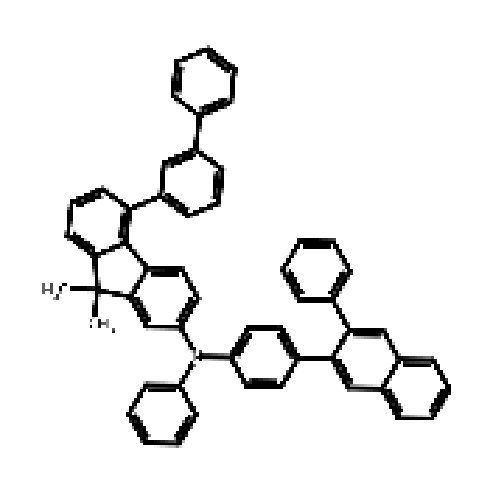 CC1(C)c2cc(N(c3ccccc3)c3ccc(-c4cc5ccccc5cc4-c4ccccc4)cc3)ccc2-c2c(-c3cccc(-c4ccccc4)c3)cccc21